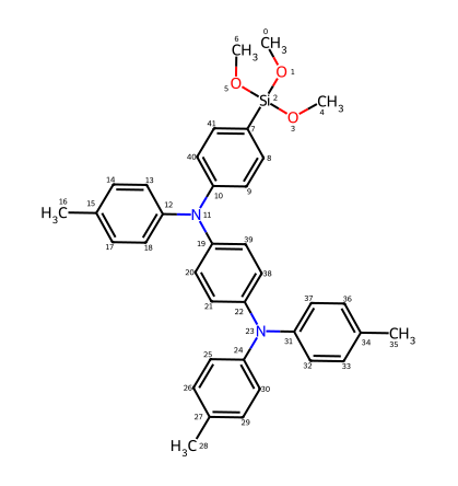 CO[Si](OC)(OC)c1ccc(N(c2ccc(C)cc2)c2ccc(N(c3ccc(C)cc3)c3ccc(C)cc3)cc2)cc1